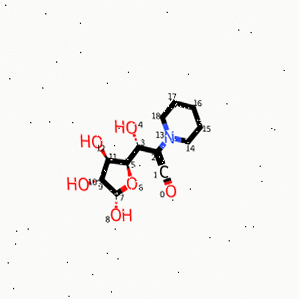 O=C=C([C@@H](O)[C@H]1O[C@H](O)[C@H](O)[C@H]1O)N1CCCCC1